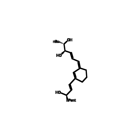 CCCCC[C@@H](O)/C=C/C1=CC(=C\C=C\[C@@H](O)[C@@H](O)CCCC)/CCC1